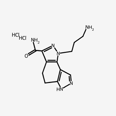 Cl.Cl.NCCCn1nc(C(N)=O)c2c1-c1cn[nH]c1CC2